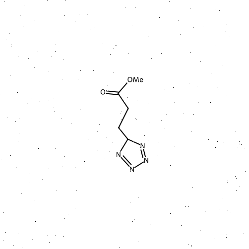 COC(=O)CCC1N=NN=N1